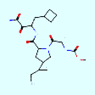 CC(C)CC1C[C@@]12CC(C(=O)NC(CC1CCC1)C(=O)C(N)=O)N(C(=O)[C@@H](NC(=O)OC(C)(C)C)C(C)(C)C)C2